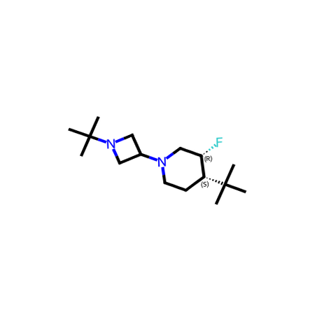 CC(C)(C)[C@@H]1CCN(C2CN(C(C)(C)C)C2)C[C@@H]1F